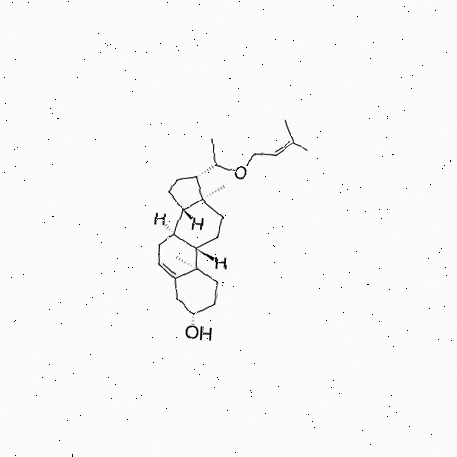 CC(C)=CCOC(C)[C@H]1CC[C@H]2[C@@H]3CC=C4C[C@@H](O)CC[C@]4(C)[C@H]3CC[C@]12C